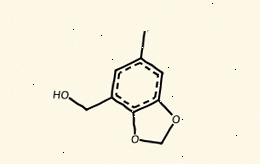 [CH2]c1cc(CO)c2c(c1)OCO2